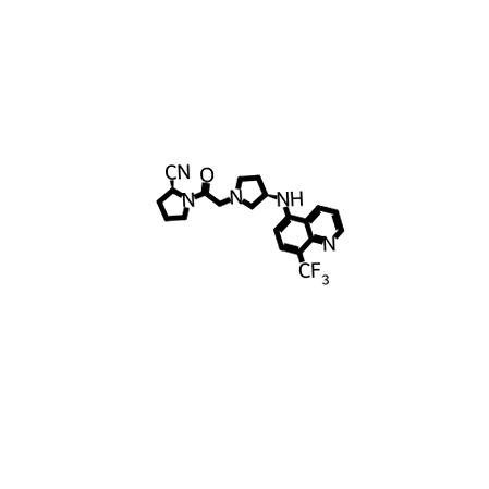 N#C[C@@H]1CCCN1C(=O)CN1CC[C@@H](Nc2ccc(C(F)(F)F)c3ncccc23)C1